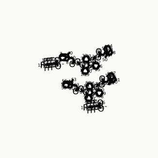 CC1C2CC3CC(C2)CC1(CC(=O)OCOc1ccccc1[S+](c1ccccc1)c1ccccc1OCOC(=O)CC12CC4CC(CC(C4)C1C)C2)C3.CC1C2CC3CC(C2)CC1(CC(=O)OCOc1ccccc1[S+](c1ccccc1)c1ccccc1OCOC(=O)CC12CC4CC(CC(C4)C1C)C2)C3.O=C([O-])C(F)(F)C(F)(F)C(F)(F)F.O=C([O-])C(F)(F)C(F)(F)C(F)(F)F